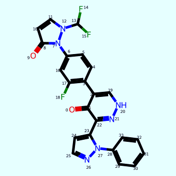 O=c1c(-c2ccc(-n3c(=O)ccn3C(F)F)cc2F)c[nH]nc1-c1ccnn1-c1ccccc1